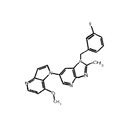 COc1ccnc2ccn(-c3cnc4nc(C)n(Cc5cccc(F)c5)c4c3)c12